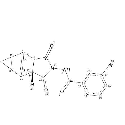 O=C(NN1C(=O)C2C3C=CC(C4CC34)[C@H]2C1=O)c1cccc(Br)c1